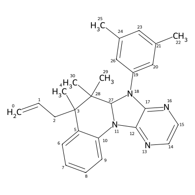 C=CCC1(C)c2ccccc2N2c3nccnc3N(c3cc(C)cc(C)c3)C2C1(C)C